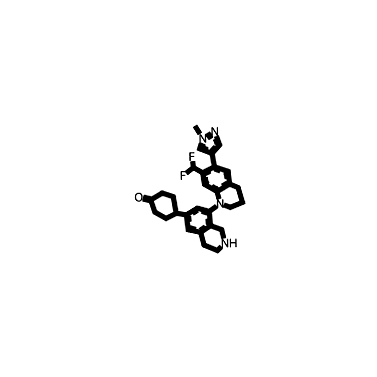 Cn1cc(-c2cc3c(cc2C(F)F)N(c2cc(C4CCC(=O)CC4)cc4c2CNCC4)CCC3)cn1